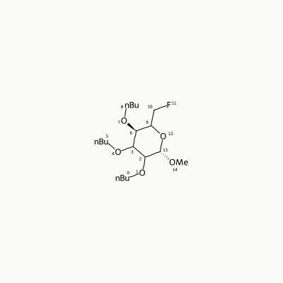 CCCCOC1C(OCCCC)[C@@H](OCCCC)C(CF)O[C@@H]1OC